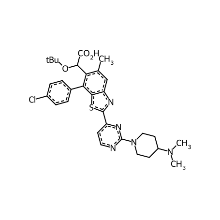 Cc1cc2nc(-c3ccnc(N4CCC(N(C)C)CC4)n3)sc2c(-c2ccc(Cl)cc2)c1C(OC(C)(C)C)C(=O)O